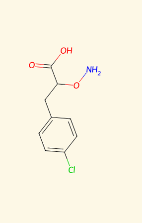 NOC(Cc1ccc(Cl)cc1)C(=O)O